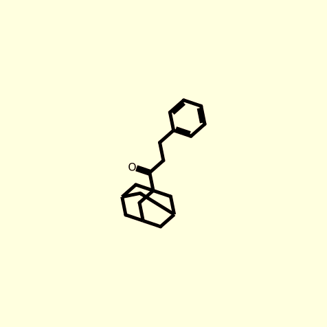 O=C(CCc1ccccc1)C12CC3CC(CC(C3)C1)C2